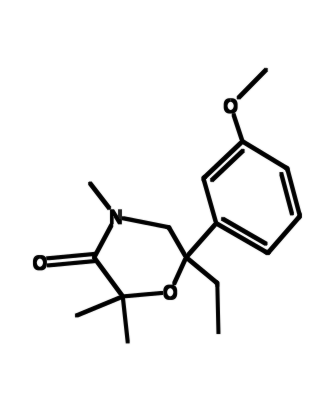 CCC1(c2cccc(OC)c2)CN(C)C(=O)C(C)(C)O1